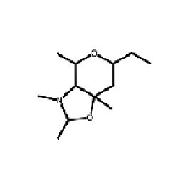 CCC1CC2(C)OC(C)N(C)C2C(C)O1